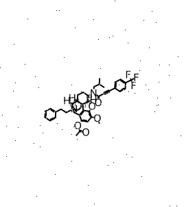 COc1cc(OC(C)=O)c2c3c1O[C@H]1[C@@H](N(CC(C)C)C(=O)C#Cc4ccc(C(F)(F)F)cc4)CC[C@H]4[C@@H](C2)N(CCc2ccccc2)CC[C@@]341